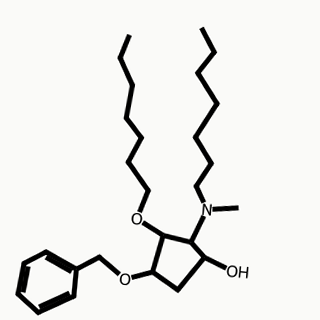 CCCCCCCOC1C(OCc2ccccc2)CC(O)C1N(C)CCCCCCC